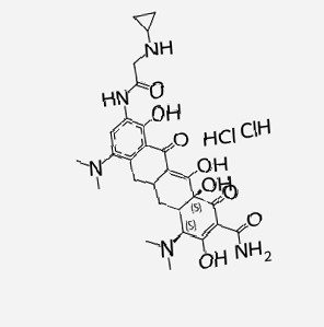 CN(C)c1cc(NC(=O)CNC2CC2)c(O)c2c1CC1CC3[C@H](N(C)C)C(O)=C(C(N)=O)C(=O)[C@@]3(O)C(O)=C1C2=O.Cl.Cl